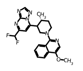 COc1cnc(N2CC[C@@H](C)C(c3cc(C(F)F)nc4ncnn34)C2)c2ccccc12